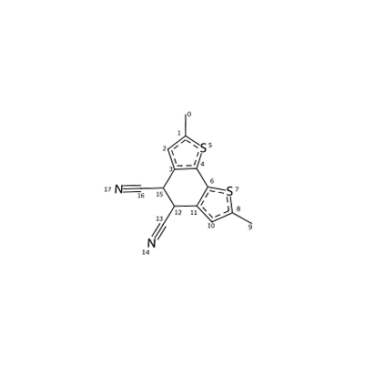 Cc1cc2c(s1)-c1sc(C)cc1C(C#N)C2C#N